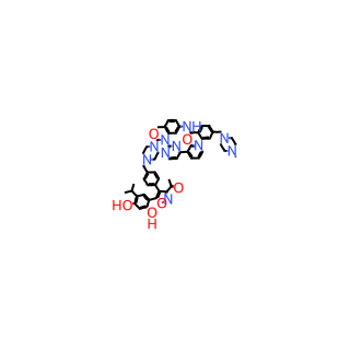 CC(=O)c1noc(-c2cc(C(C)C)c(O)cc2O)c1-c1ccc(CN2CCN(C(=O)N(c3nccc(-c4cccnc4)n3)c3cc(NC(=O)c4ccc(CN5CCN(C)CC5)cc4)ccc3C)CC2)cc1